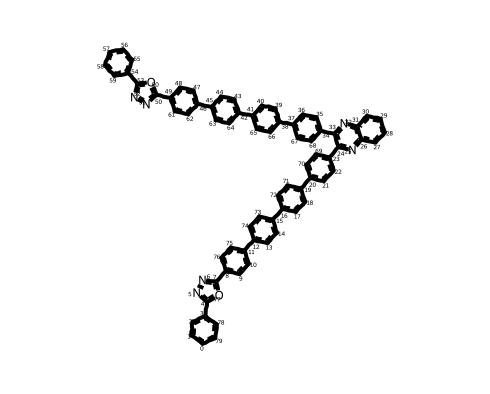 c1ccc(-c2nnc(-c3ccc(-c4ccc(-c5ccc(-c6ccc(-c7nc8ccccc8nc7-c7ccc(-c8ccc(-c9ccc(-c%10ccc(-c%11nnc(-c%12ccccc%12)o%11)cc%10)cc9)cc8)cc7)cc6)cc5)cc4)cc3)o2)cc1